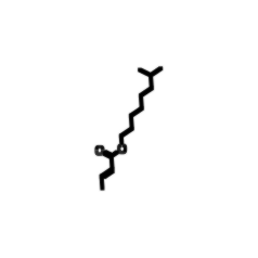 CC=CC(=O)OCCCCCCC(C)C